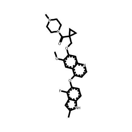 COc1cc2c(Oc3ccc4[nH]c(C)cc4c3F)ccnc2cc1OCC1(C(=O)N2CCN(C)CC2)CC1